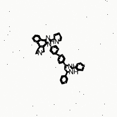 C1=CNC(c2nc3c4ccccc4c4c(c3n2-c2ccc(-c3ccc(C5=CC(c6ccccc6)NC(c6ccccc6)N5)cc3)cc2)CN2CC42)C=C1